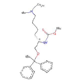 CC(C)(C)OC(=O)N[C@@H](CCCCN(C(=O)O)C(C)(C)C)CO[Si](c1ccccc1)(c1ccccc1)C(C)(C)C